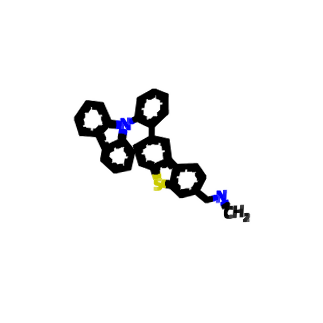 C=NCc1ccc2c(c1)sc1ccc(-c3ccccc3-n3c4ccccc4c4ccccc43)cc12